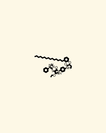 CCCCCCCCCCCCCCCc1cccc(OC(CC)C(=O)Nc2ccc(-n3[nH]c(OCC)c(Sc4nnnn4-c4ccccc4)c3=O)cc2)c1